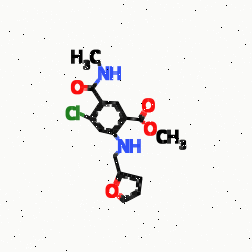 CNC(=O)c1cc(C(=O)OC)c(NCc2ccco2)cc1Cl